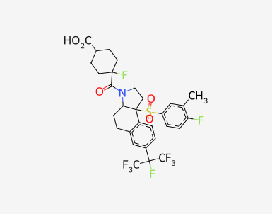 Cc1cc(S(=O)(=O)C23CCN(C(=O)C4(F)CCC(C(=O)O)CC4)C2CCc2cc(C(F)(C(F)(F)F)C(F)(F)F)ccc23)ccc1F